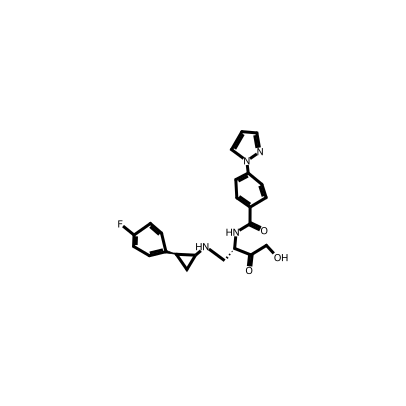 O=C(N[C@@H](CNC1C[C@H]1c1ccc(F)cc1)C(=O)CO)c1ccc(-n2cccn2)cc1